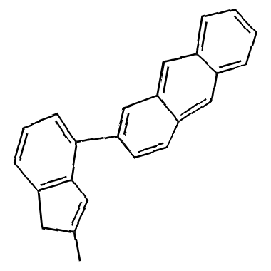 CC1=Cc2c(cccc2-c2ccc3cc4ccccc4cc3c2)[CH]1